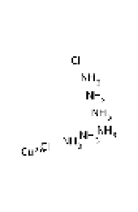 N.N.N.N.N.N.[Cl-].[Cl-].[Cu+2]